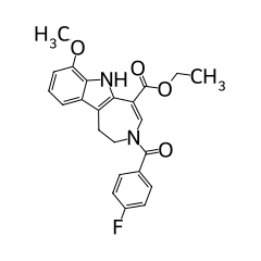 CCOC(=O)C1=CN(C(=O)c2ccc(F)cc2)CCc2c1[nH]c1c(OC)cccc21